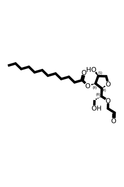 CCCCCCCCCCCC(=O)O[C@H]1[C@@H]([C@@H](CO)OCC=O)OC[C@@H]1O